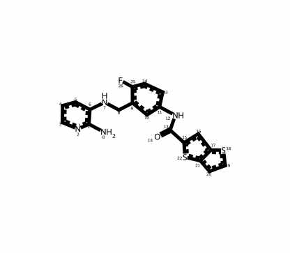 Nc1ncccc1NCc1cc(NC(=O)c2cc3sccc3s2)ccc1F